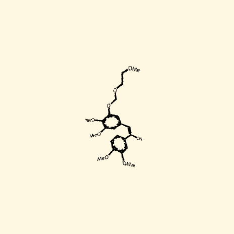 COCCOCOc1cc(C=C(C#N)c2ccc(OC)c(OC)c2)cc(OC)c1OC